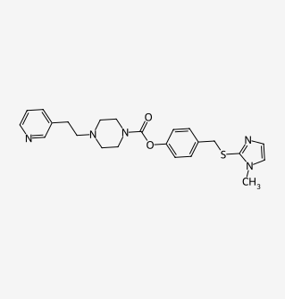 Cn1ccnc1SCc1ccc(OC(=O)N2CCN(CCc3cccnc3)CC2)cc1